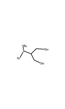 CCCCN(C(C)=O)C(CO)CO